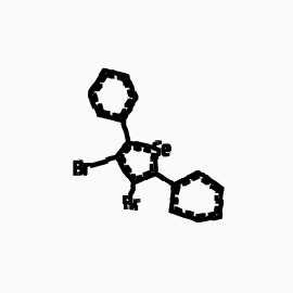 Brc1c(-c2ccccc2)[se]c(-c2ccccc2)c1Br